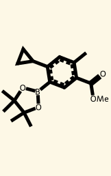 COC(=O)c1cc(B2OC(C)(C)C(C)(C)O2)c(C2CC2)cc1C